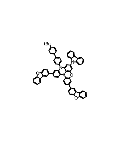 CC(C)(C)c1ccc(-c2ccc(N3c4cc(-c5ccc6oc7ccccc7c6c5)ccc4B4c5ccc(-c6ccc7oc8ccccc8c7c6)cc5Oc5cc(-n6c7ccccc7c7ccccc76)cc3c54)cc2)cc1